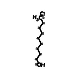 CCCCCCCCCO.[C]